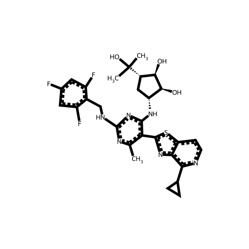 Cc1nc(NCc2c(F)cc(F)cc2F)nc(N[C@@H]2C[C@H](C(C)(C)O)[C@@H](O)[C@H]2O)c1-c1nc2c(C3CC3)nccc2s1